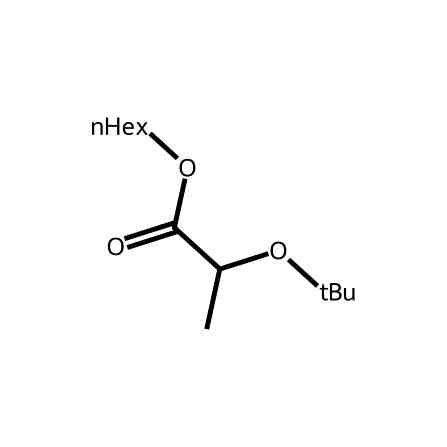 CCCCCCOC(=O)C(C)OC(C)(C)C